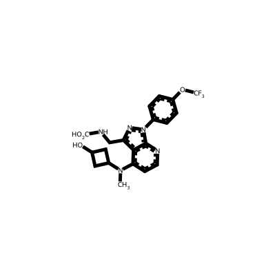 CN(c1ccnc2c1c(CNC(=O)O)nn2-c1ccc(OC(F)(F)F)cc1)C1CC(O)C1